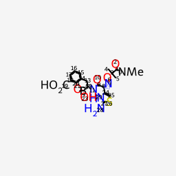 CNC(=O)C(C)(C)O/N=C(\C(=O)N[C@H]1Cc2cccc(C(=O)O)c2OB1O)c1csc(N)n1